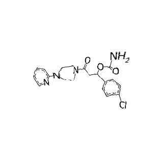 NC(=O)OC(CC(=O)N1CCN(c2ccccn2)CC1)c1ccc(Cl)cc1